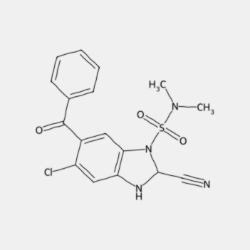 CN(C)S(=O)(=O)N1c2cc(C(=O)c3ccccc3)c(Cl)cc2NC1C#N